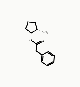 C[C@H]1COC[C@H]1OC(=O)Cc1ccccc1